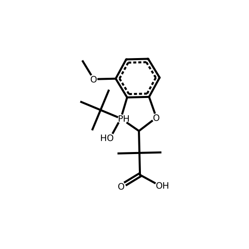 COc1cccc2c1[PH](O)(C(C)(C)C)C(C(C)(C)C(=O)O)O2